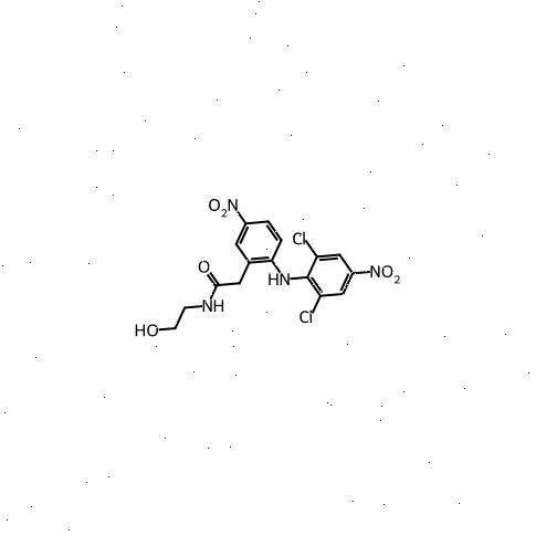 O=C(Cc1cc([N+](=O)[O-])ccc1Nc1c(Cl)cc([N+](=O)[O-])cc1Cl)NCCO